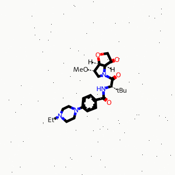 CCN1CCN(c2ccc(C(=O)N[C@H](C(=O)N3C[C@H](OC)[C@H]4OCC(=O)[C@H]43)C(C)(C)C)cc2)CC1